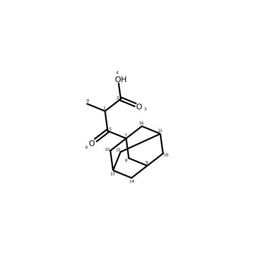 CC(C(=O)O)C(=O)C12CC3CC(CC(C3)C1)C2